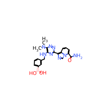 CN(C)c1nnc(-c2ncn3c(C(N)=O)cccc23)nc1NCc1cccc(B(O)O)c1